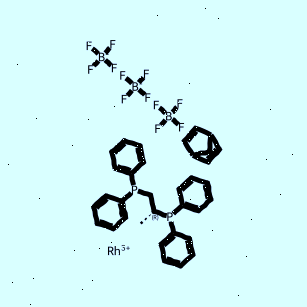 C1=CC2C=CC1C2.C[C@H](CP(c1ccccc1)c1ccccc1)P(c1ccccc1)c1ccccc1.F[B-](F)(F)F.F[B-](F)(F)F.F[B-](F)(F)F.[Rh+3]